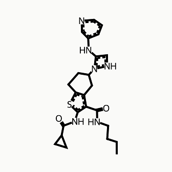 CCCCNC(=O)c1c(NC(=O)C2CC2)sc2c1CC(n1[nH]cc1Nc1cccnc1)CC2